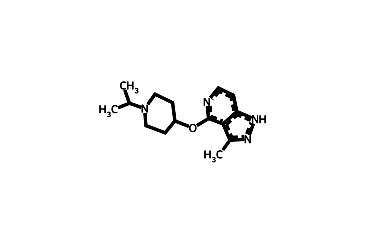 Cc1n[nH]c2ccnc(OC3CCN(C(C)C)CC3)c12